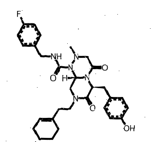 CN1CC(=O)N2[C@@H](Cc3ccc(O)cc3)C(=O)N(CCC3=CCCCC3)C[C@@H]2N1C(=O)NCc1ccc(F)cc1